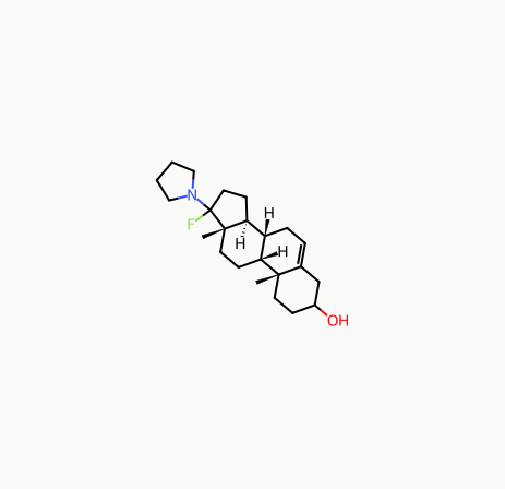 C[C@]12CCC(O)CC1=CC[C@@H]1[C@H]2CC[C@@]2(C)[C@H]1CCC2(F)N1CCCC1